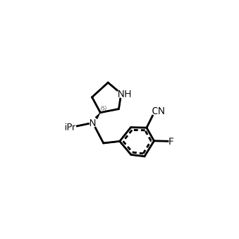 CC(C)N(Cc1ccc(F)c(C#N)c1)[C@H]1CCNC1